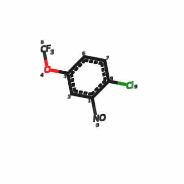 O=Nc1cc(OC(F)(F)F)ccc1Cl